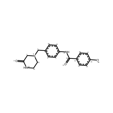 O=C1CN(Cc2ccc(NC(=O)c3ccc(Cl)cc3)cc2)CCN1